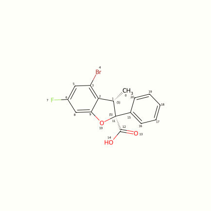 C[C@H]1c2c(Br)cc(F)cc2O[C@]1(C(=O)O)c1ccccc1